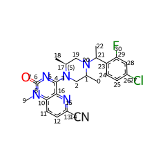 CC1CN(c2nc(=O)n(C)c3ccc(C#N)nc23)[C@@H](C)CN1C(C)c1ccc(Cl)cc1F